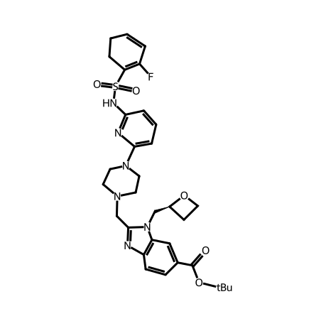 CC(C)(C)OC(=O)c1ccc2nc(CN3CCN(c4cccc(NS(=O)(=O)C5=C(F)C=CCC5)n4)CC3)n(C[C@@H]3CCO3)c2c1